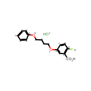 Cl.O=C(O)c1cc(OCCCCOc2ccccc2)ccc1F